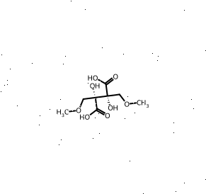 COC[C@](O)(C(=O)O)[C@](O)(COC)C(=O)O